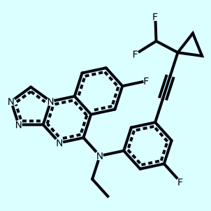 CCN(c1cc(F)cc(C#CC2(C(F)F)CC2)c1)c1nc2nncn2c2ccc(F)cc12